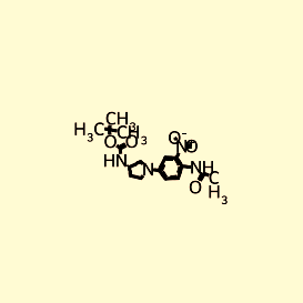 CC(=O)Nc1ccc(N2CC[C@H](NC(=O)OC(C)(C)C)C2)cc1[N+](=O)[O-]